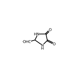 O=[C]C1NC(=O)C(=O)N1